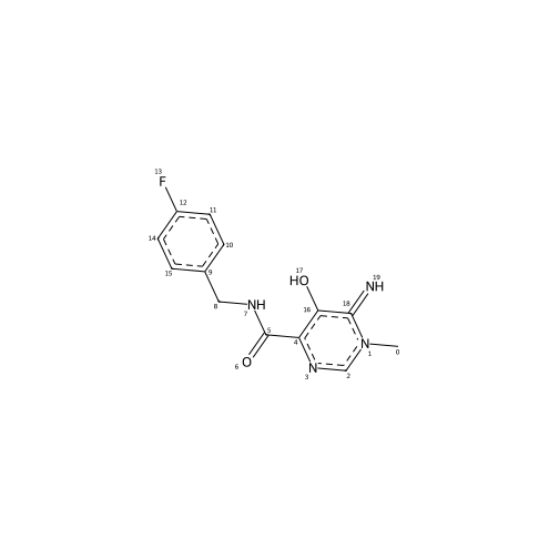 Cn1cnc(C(=O)NCc2ccc(F)cc2)c(O)c1=N